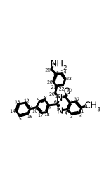 Cc1ccc2nc(-c3ccc(-c4ccccc4)cc3)n(Cc3cccc(CN)c3)c(=O)c2c1